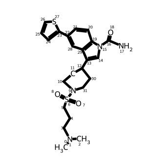 CN(C)CCCS(=O)(=O)N1CCC(c2cn(C(N)=O)c3ccc(-c4cccs4)cc23)CC1